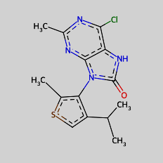 Cc1nc(Cl)c2[nH]c(=O)n(-c3c(C(C)C)csc3C)c2n1